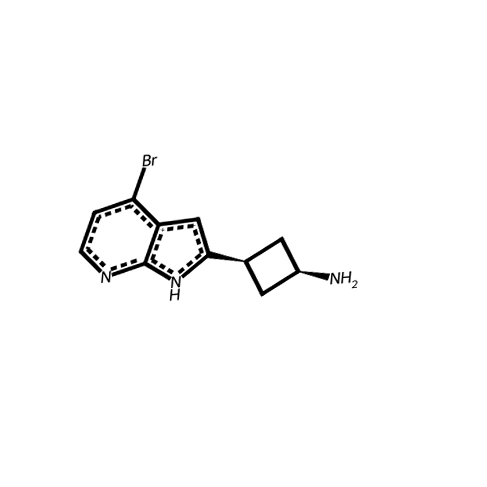 N[C@H]1C[C@@H](c2cc3c(Br)ccnc3[nH]2)C1